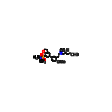 COc1ccc(-c2cc3c(c(S(=O)(=O)N(C)C)c2)OCC3)cc1CCN(CCCCC=O)C(=O)O